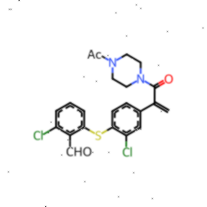 C=C(C(=O)N1CCN(C(C)=O)CC1)c1ccc(Sc2cccc(Cl)c2C=O)c(Cl)c1